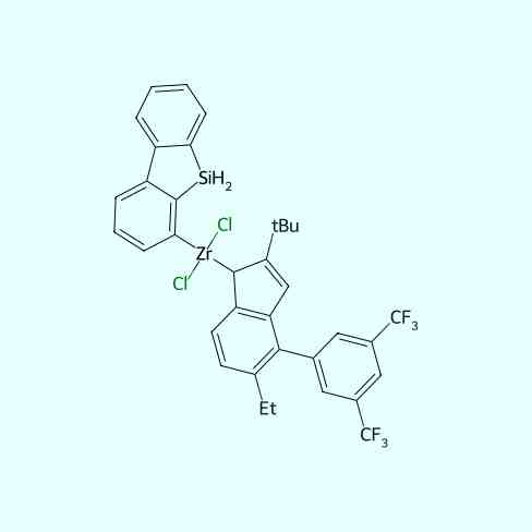 CCc1ccc2c(c1-c1cc(C(F)(F)F)cc(C(F)(F)F)c1)C=C(C(C)(C)C)[CH]2[Zr]([Cl])([Cl])[c]1cccc2c1[SiH2]c1ccccc1-2